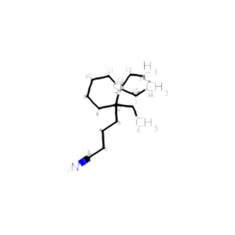 CCC1(CCCC#N)CCCC[Si]1(CC)CC